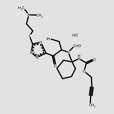 CC#CCOC(=O)NC1(N(C=O)C(CC(C)C)C(=O)c2nnc(SCCN(C)C)o2)CCCCC1.Cl